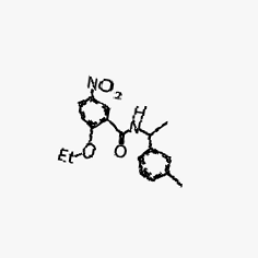 CCOc1ccc([N+](=O)[O-])cc1C(=O)NC(C)c1cccc(C)c1